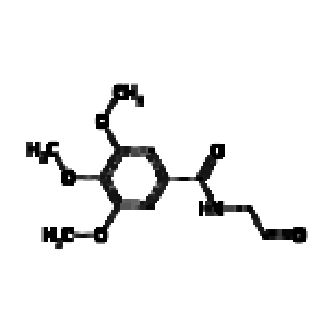 COc1cc(C(=O)NCC=O)cc(OC)c1OC